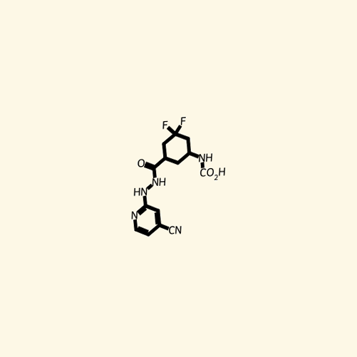 N#Cc1ccnc(NNC(=O)C2CC(NC(=O)O)CC(F)(F)C2)c1